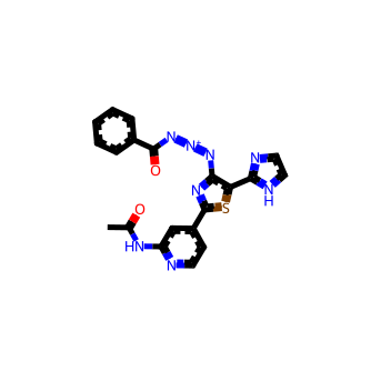 CC(=O)Nc1cc(-c2nc(N=[N+]=NC(=O)c3ccccc3)c(-c3ncc[nH]3)s2)ccn1